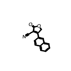 N#CC1=C(c2ccc3ccccc3c2)COC1=O